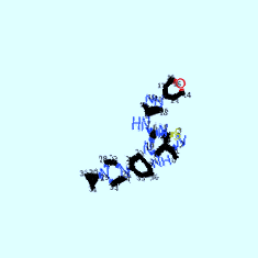 Cc1nsc2nc(Nc3cnn(C4CCOCC4)c3)nc(N[C@H]3CC[C@H](N4CCN(C5CC5)CC4)CC3)c12